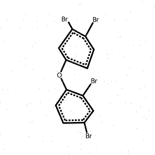 Brc1ccc(Oc2ccc(Br)c(Br)c2)c(Br)c1